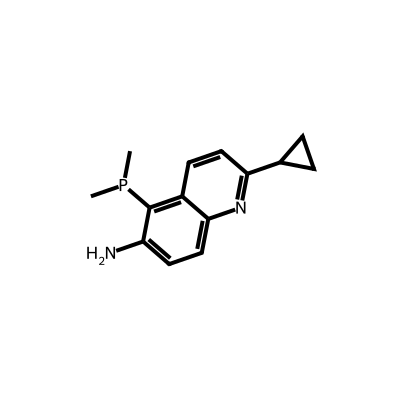 CP(C)c1c(N)ccc2nc(C3CC3)ccc12